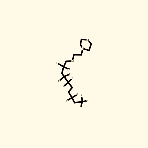 FC(F)(F)CC(F)(F)CCC(F)(F)C(F)(F)CC(F)(F)CNCCN1CCOCC1